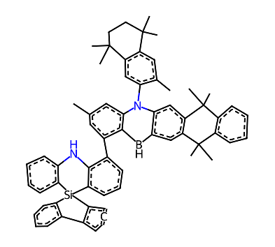 Cc1cc(-c2cccc3c2Nc2ccccc2[Si]32c3ccccc3-c3ccccc32)c2c(c1)N(c1cc3c(cc1C)C(C)(C)CCC3(C)C)c1cc3c(cc1B2)C(C)(C)c1ccccc1C3(C)C